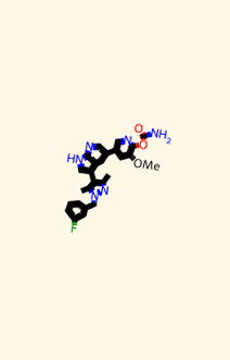 COc1cc(-c2cnc3[nH]cc(-c4c(C)nn(Cc5cccc(F)c5)c4C)c3c2)cnc1OC(N)=O